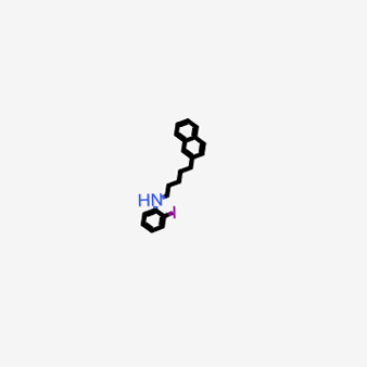 Ic1ccccc1NCCCCCc1ccc2ccccc2c1